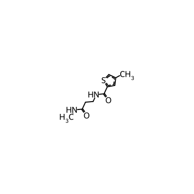 CNC(=O)CCNC(=O)c1cc(C)cs1